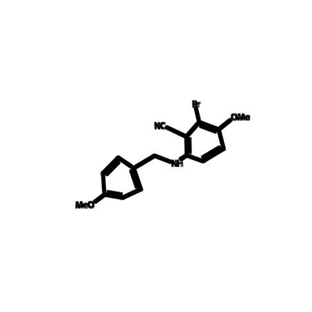 COc1ccc(CNc2ccc(OC)c(Br)c2C#N)cc1